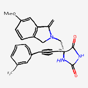 C=C1c2cc(OC)ccc2CN1C[C@@]1(C#Cc2cccc(C(F)(F)F)c2)NC(=O)NC1=O